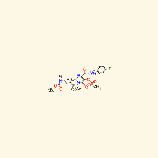 CCN(CCC[C@@H](Cn1c(C)nc(C(=O)NCc2ccc(F)cc2)c(OS(C)(=O)=O)c1=O)OC)C(=O)OC(C)(C)C